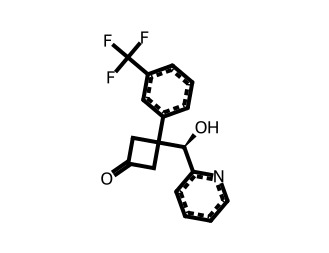 O=C1CC(c2cccc(C(F)(F)F)c2)([C@@H](O)c2ccccn2)C1